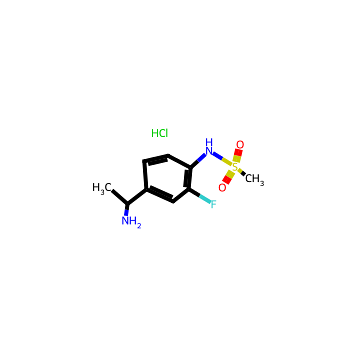 CC(N)c1ccc(NS(C)(=O)=O)c(F)c1.Cl